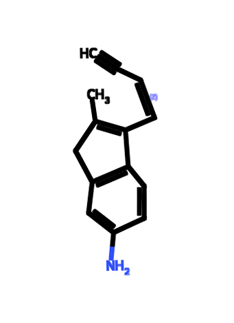 C#C/C=C\C1=C(C)Cc2cc(N)ccc21